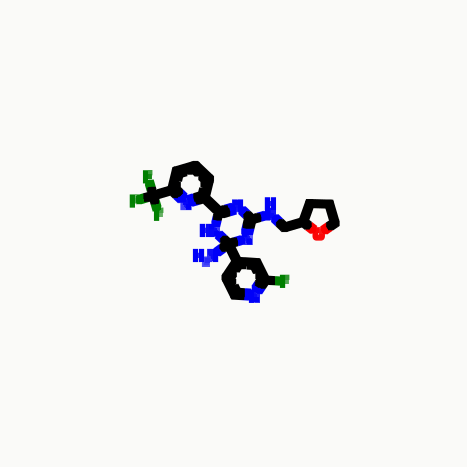 NC1(c2ccnc(F)c2)N=C(NCC2CCCO2)N=C(c2cccc(C(F)(F)F)n2)N1